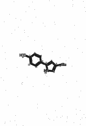 Cc1ccc(-c2cc(C(C)(C)C)c[nH]2)cc1